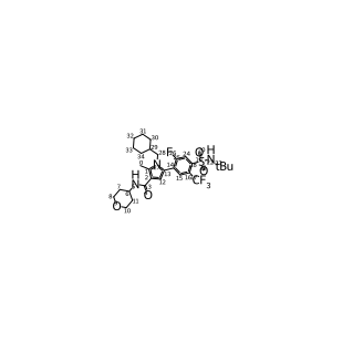 Cc1c(C(=O)NC2CCOCC2)cc(-c2cc(C(F)(F)F)c(S(=O)(=O)NC(C)(C)C)cc2F)n1CC1CCCCC1